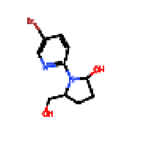 OCC1CCC(O)N1c1ccc(Br)cn1